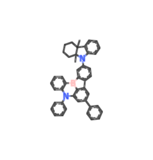 CC12CCCCC1(C)N(c1ccc3c(c1)B1c4ccccc4N(c4ccccc4)c4cc(-c5ccccc5)cc-3c41)c1ccccc12